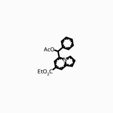 CCOC(=O)c1cc(C(OC(C)=O)c2ccccc2)n2cccc2c1